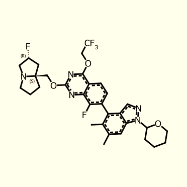 Cc1cc2c(cnn2C2CCCCO2)c(-c2ccc3c(OCC(F)(F)F)nc(OC[C@@]45CCCN4C[C@H](F)C5)nc3c2F)c1C